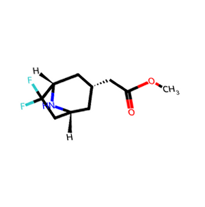 COC(=O)C[C@@H]1C[C@@H]2CC(F)(F)[C@H](C1)N2